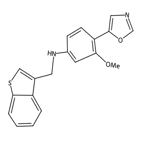 COc1cc(NCc2csc3ccccc23)ccc1-c1cnco1